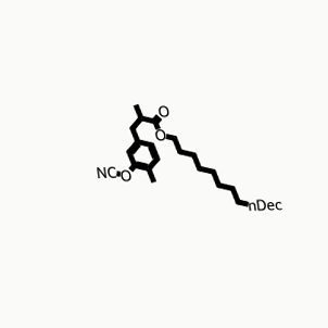 CCCCCCCCCCCCCCCCCCOC(=O)C(C)Cc1ccc(C)c(OC#N)c1